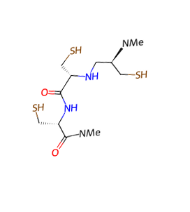 CNC(=O)[C@H](CS)NC(=O)[C@H](CS)NC[C@H](CS)NC